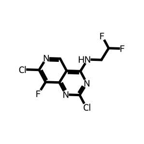 Fc1c(Cl)ncc2c(NCC(F)F)nc(Cl)nc12